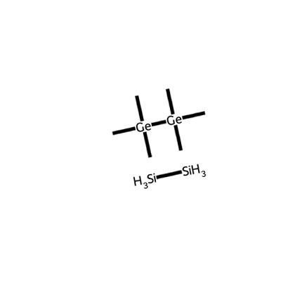 [CH3][Ge]([CH3])([CH3])[Ge]([CH3])([CH3])[CH3].[SiH3][SiH3]